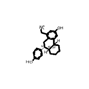 [C-]#[N+]Cc1cc(O)cc2c1C[C@@H](c1ccc(O)cc1)[C@H]1CCCC[C@@H]21